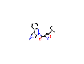 CCC(C)c1cc(C(=O)NC2CN(C)C[C@H]2c2ccccc2)no1